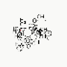 CCOC(=O)O[C@H]1C(=O)[C@@]2(C)C([C@H](OC(=O)c3ccccc3)[C@]3(O)C[C@H](O)C(C)=C1C3(C)C)[C@]1(OC(C)=O)CO[C@@H]1C[C@@H]2O[Si](C)(C)c1ccccc1